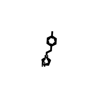 Cc1ccc(CCn2ccnc2)cc1